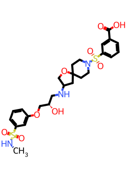 CNS(=O)(=O)c1cccc(OC[C@@H](O)CNC2COC3(CCN(S(=O)(=O)c4cccc(C(=O)O)c4)CC3)C2)c1